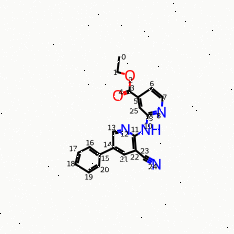 CCOC(=O)c1ccnc(Nc2ncc(-c3ccccc3)cc2C#N)c1